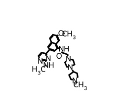 CNc1nccc(-c2cc(NC(=O)CN3CCN(C4CCN(C)CC4)CC3)c3cc(OC)ccc3c2)n1